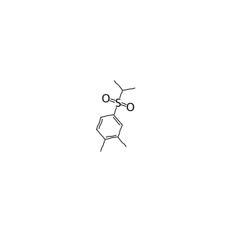 Cc1ccc(S(=O)(=O)C(C)C)cc1C